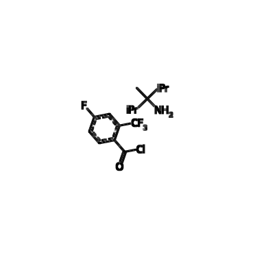 CC(C)C(C)(N)C(C)C.O=C(Cl)c1ccc(F)cc1C(F)(F)F